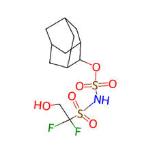 O=S(=O)(NS(=O)(=O)C(F)(F)CO)OC1C2CC3CC(C2)CC1C3